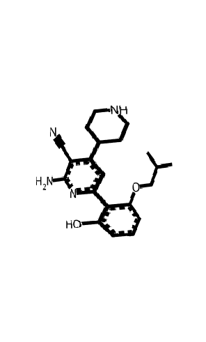 CC(C)COc1cccc(O)c1-c1cc(C2CCNCC2)c(C#N)c(N)n1